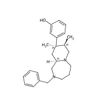 C[C@H]1CN2CCCN(Cc3ccccc3)C[C@H]2C[C@@]1(C)c1cccc(O)c1